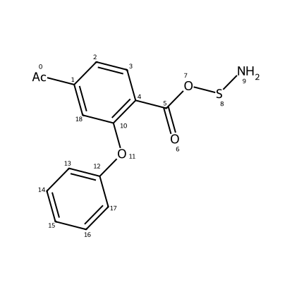 CC(=O)c1ccc(C(=O)OSN)c(Oc2ccccc2)c1